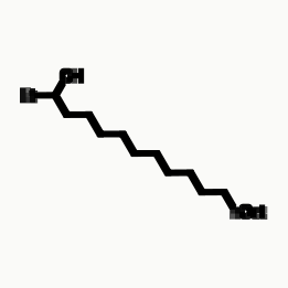 [CH2]CC(O)CCCCCCCCCCCCCCCCCC